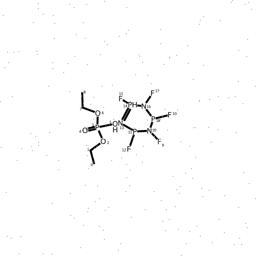 CCOP(=O)(O)OCC.FN1P(F)N=[PH](F)N(F)P1F